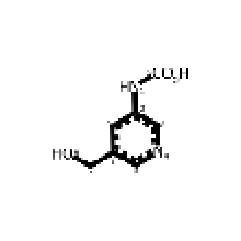 O=C(O)Nc1cncc(CO)c1